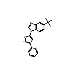 CC(C)(C)c1ccc2c(c1)ncn2C1=CN(c2ccccn2)NO1